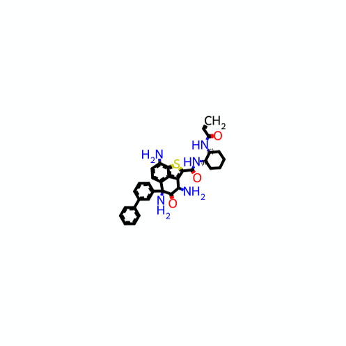 C=CC(=O)N[C@H]1CCCC[C@H]1NC(=O)c1sc2c(N)ccc3c2c1C(N)C(=O)C3(N)c1cccc(-c2ccccc2)c1